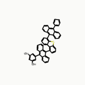 CC(C)(C)c1cc(-c2c3ccccc3c(-c3cccc4sc5c(-c6c7ccccc7c(-c7ccccc7)c7ccccc67)cccc5c34)c3ccccc23)cc(C(C)(C)C)c1